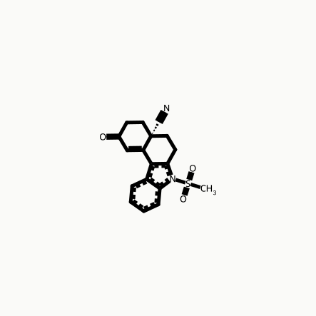 CS(=O)(=O)n1c2c(c3ccccc31)C1=CC(=O)CC[C@@]1(C#N)CC2